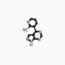 N#Cc1ncccc1-c1ncnc2[nH]ncc12